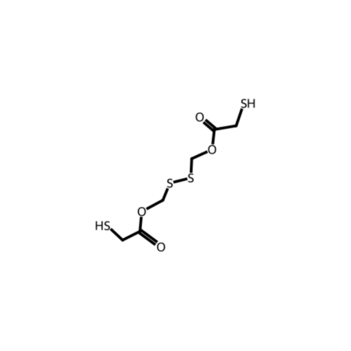 O=C(CS)OCSSCOC(=O)CS